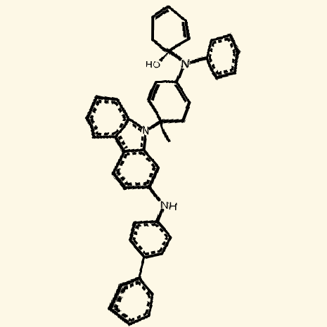 CC1(n2c3ccccc3c3ccc(Nc4ccc(-c5ccccc5)cc4)cc32)C=CC(N(c2ccccc2)[C@@]2(O)C=CC=CC2)=CC1